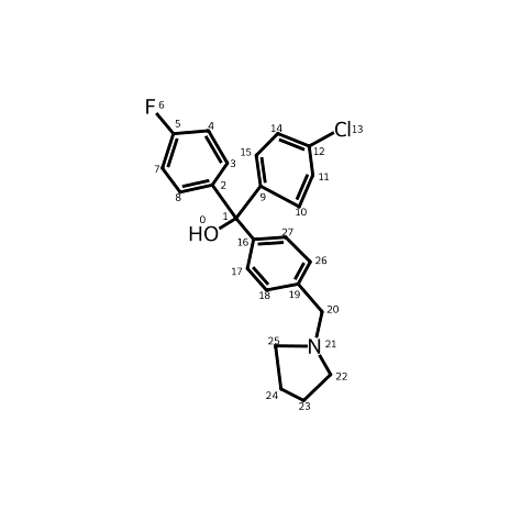 OC(c1ccc(F)cc1)(c1ccc(Cl)cc1)c1ccc(CN2CCCC2)cc1